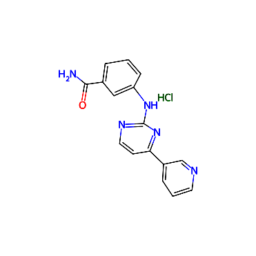 Cl.NC(=O)c1cccc(Nc2nccc(-c3cccnc3)n2)c1